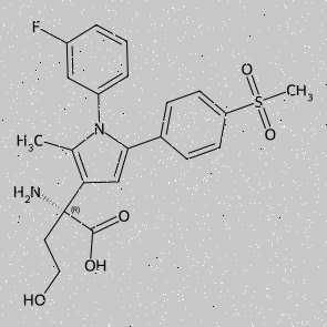 Cc1c([C@](N)(CCO)C(=O)O)cc(-c2ccc(S(C)(=O)=O)cc2)n1-c1cccc(F)c1